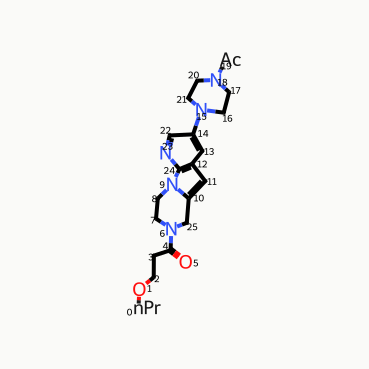 CCCOCCC(=O)N1CCn2c(cc3cc(N4CCN(C(C)=O)CC4)cnc32)C1